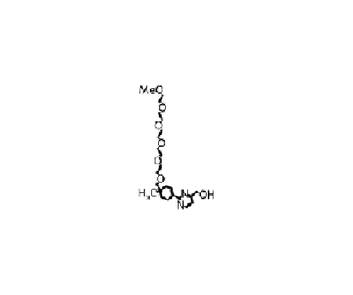 COCCOCCOCCOCCOCCOC[C@@]1(C)CC=C(c2nccc(CO)n2)CC1